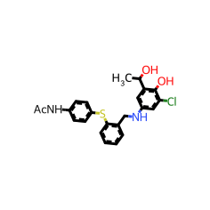 CC(=O)Nc1ccc(Sc2ccccc2CNc2cc(Cl)c(O)c(C(C)O)c2)cc1